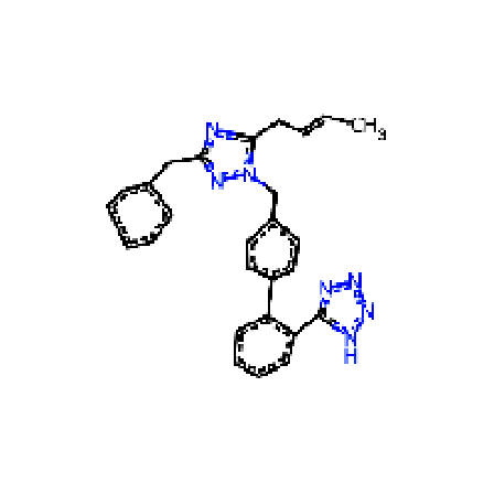 C/C=C/Cc1nc(Cc2ccccc2)nn1Cc1ccc(-c2ccccc2-c2nnn[nH]2)cc1